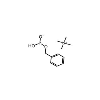 C[N+](C)(C)C.[O-]P(O)OCc1ccccc1